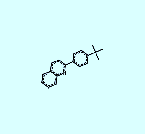 CC(C)(C)c1ccc(-c2ccc3cc[c]cc3n2)cc1